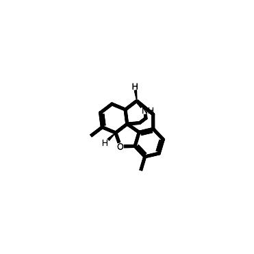 CC1=CCC2[C@@H]3Cc4ccc(C)c5c4C2(CCN3)[C@@H]1O5